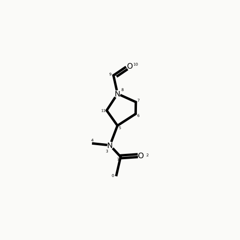 CC(=O)N(C)C1CCN([C]=O)C1